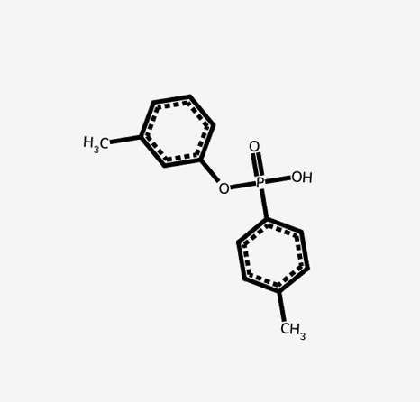 Cc1ccc(P(=O)(O)Oc2cccc(C)c2)cc1